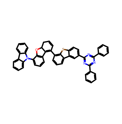 C1=CC(c2cccc3c2sc2ccc(-c4nc(-c5ccccc5)nc(-c5ccccc5)n4)cc23)=C2c3cccc(-n4c5ccccc5c5ccccc54)c3OC2C1